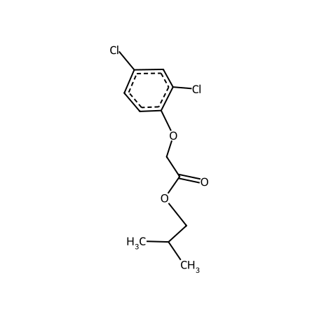 CC(C)COC(=O)COc1ccc(Cl)cc1Cl